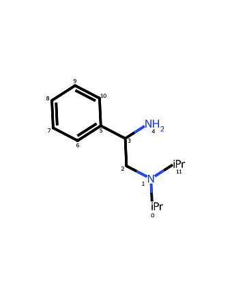 CC(C)N(CC(N)c1ccccc1)C(C)C